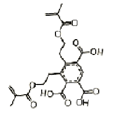 C=C(C)C(=O)OCCc1c(C(=O)O)cc(C(=O)O)c(C(=O)O)c1CCOC(=O)C(=C)C